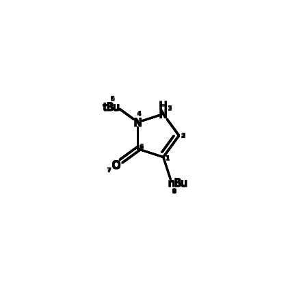 CCCCc1c[nH]n(C(C)(C)C)c1=O